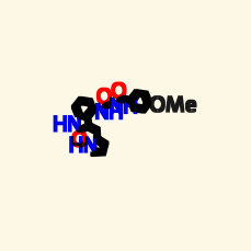 COc1ccc(C(=O)NC(=O)Nc2cccc3c2/C(=C/c2ccc[nH]2)C(=O)N3)cc1